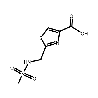 CS(=O)(=O)NCc1nc(C(=O)O)cs1